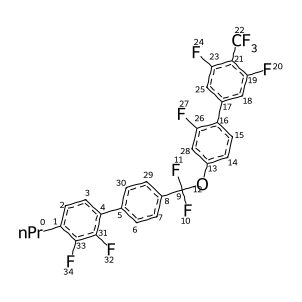 CCCc1ccc(-c2ccc(C(F)(F)Oc3ccc(-c4cc(F)c(C(F)(F)F)c(F)c4)c(F)c3)cc2)c(F)c1F